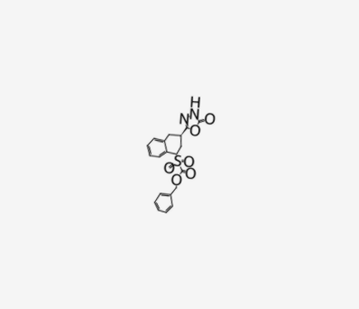 O=C(OCc1ccccc1)S(=O)(=O)C1C[C@H](c2n[nH]c(=O)o2)Cc2ccccc21